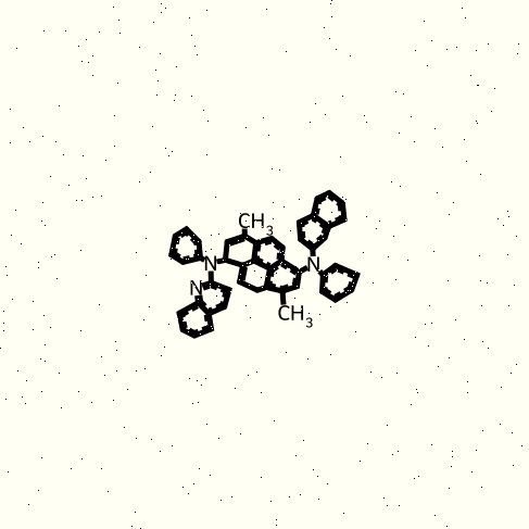 CC1=CC(N(c2ccccc2)c2ccc3ccccc3n2)C2=CCc3c(C)cc(N(c4ccccc4)c4ccc5ccccc5c4)c4ccc1c2c34